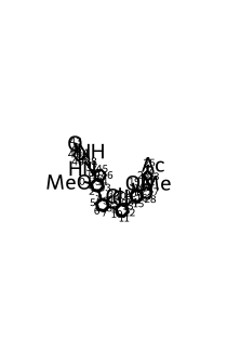 COc1cc(-c2cccc(-c3cccc(-c4cc5c(c(OC)c4)[C@@H](N4CC(C(C)=O)C4)CC5)c3Cl)c2Cl)cc2c1[C@@H](NC[C@@H]1CCC(=O)N1)CC2